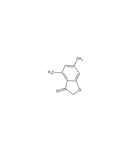 Cc1cc(C)c2c(c1)OCC2=O